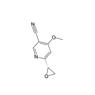 COc1cc([C@@H]2CO2)ncc1C#N